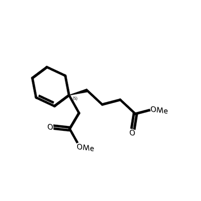 COC(=O)CCC[C@@]1(CC(=O)OC)C=CCCC1